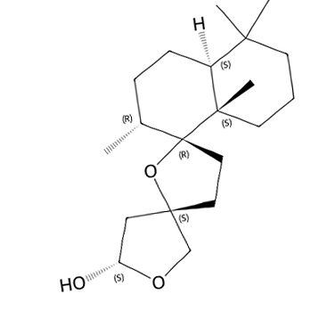 C[C@@H]1CC[C@H]2C(C)(C)CCC[C@]2(C)[C@@]12CC[C@]1(CO[C@H](O)C1)O2